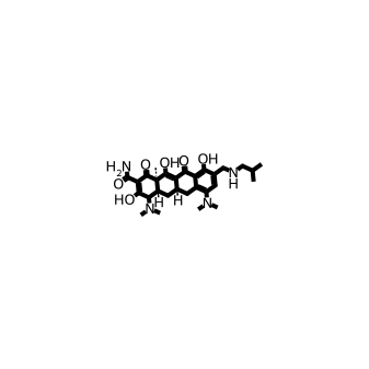 CC(C)CNCc1cc(N(C)C)c2c(c1O)C(=O)C1=C(O)[C@]3(C)C(=O)C(C(N)=O)=C(O)C(N(C)C)[C@@H]3C[C@@H]1C2